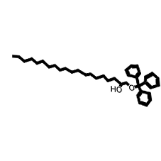 CCCCCCCCCCCCCCCCCCC(O)COC(c1ccccc1)(c1ccccc1)c1ccccc1